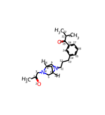 CC(=O)CN1C[C@@H]2C[C@H]1CN2CCCc1cccc(C(=O)C(C)C)c1